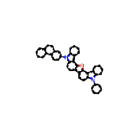 c1ccc(-n2c3ccccc3c3c4oc5c(ccc6c5c5ccccc5n6-c5ccc6c(ccc7ccccc76)c5)c4ccc32)cc1